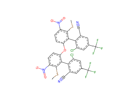 CSc1c([N+](=O)[O-])ccc(Oc2ccc([N+](=O)[O-])c(SC)c2-c2c(Cl)cc(C(F)(F)F)cc2C#N)c1-c1c(Cl)cc(C(F)(F)F)cc1C#N